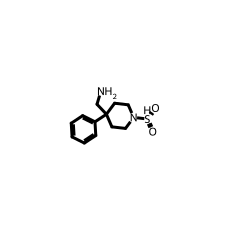 NCC1(c2ccccc2)CCN([SH](=O)=O)CC1